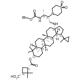 C[C@@H](NC(=O)OC(C)(C)C)[C@@H](CN[C@]12CC[C@@H](C3(C)CC3)[C@@H]1[C@H]1CC[C@@H]3[C@@]4(C)CC[C@H](OC(=O)[C@H]5C[C@@H](C(=O)O)C5(C)C)C(C)(C)[C@@H]4CC[C@@]3(C)[C@]1(C)CC2)N1CCS(=O)(=O)CC1